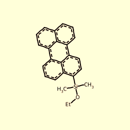 CCO[Si](C)(C)c1ccc2c3cccc4cccc(c5cccc1c52)c43